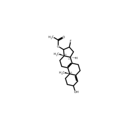 CC(=O)OC1C(F)C[C@H]2C3=C(CC[C@]12C)[C@@]1(C)CCC(O)C=C1CC3